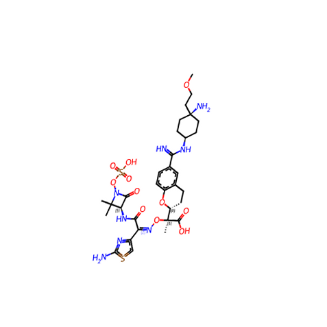 COCC[C@]1(N)CC[C@@H](NC(=N)c2ccc3c(c2)CC[C@H]([C@](C)(O/N=C(\C(=O)N[C@@H]2C(=O)N(OS(=O)(=O)O)C2(C)C)c2csc(N)n2)C(=O)O)O3)CC1